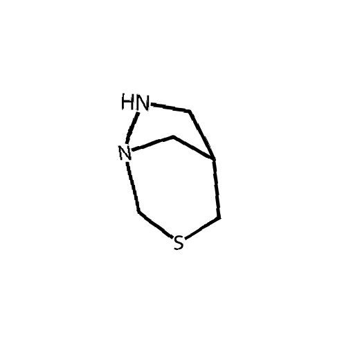 C1NN2CSCC1C2